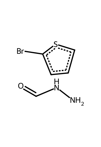 Brc1cccs1.NNC=O